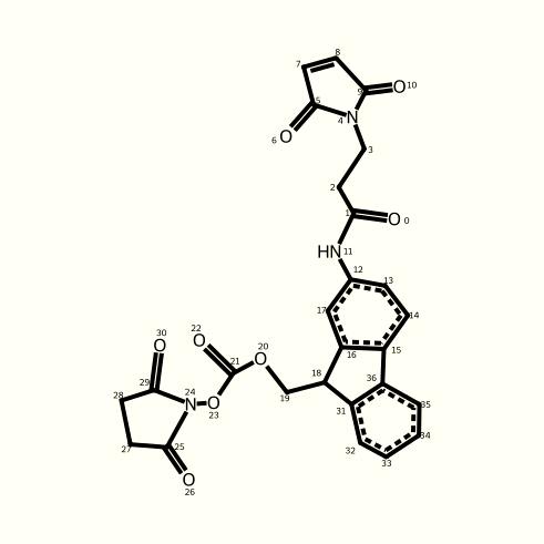 O=C(CCN1C(=O)C=CC1=O)Nc1ccc2c(c1)C(COC(=O)ON1C(=O)CCC1=O)c1ccccc1-2